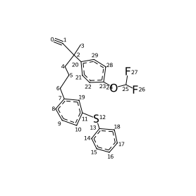 C#CC(C)(CCCc1cccc(Sc2ccccc2)c1)c1ccc(OC(F)F)cc1